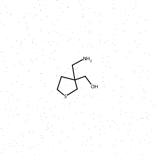 NCC1(CO)CCSC1